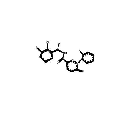 C[C@@H](NC(=O)c1ccc(=O)n(-c2ccccc2F)n1)c1cccc(F)c1Cl